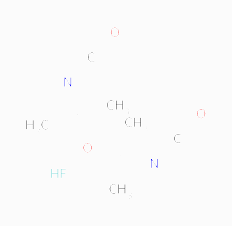 CC(C)(N=C=O)OC(C)(C)N=C=O.F